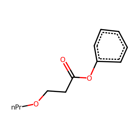 [CH2]CCOCCC(=O)Oc1ccccc1